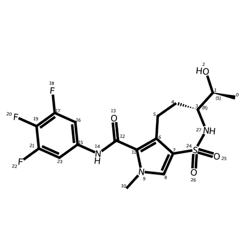 C[C@H](O)[C@H]1CCc2c(cn(C)c2C(=O)Nc2cc(F)c(F)c(F)c2)S(=O)(=O)N1